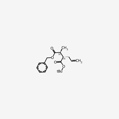 C=CC[C@H](C(=O)OC(C)(C)C)[C@H](C)C(=O)OCc1ccccc1